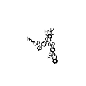 Cc1cc(C[C@@H](OC(=O)N2CCC(N3CCc4ccccc4NC3=O)CC2)C(=O)N2CCC(N3CCC[C@H]3C(=O)OCCCN(C)C)CC2)cc2oc(=O)[nH]c12